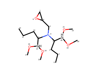 CCCC(N(CC1CO1)C(CCC)[SiH](OC)OC)[SiH](OC)OC